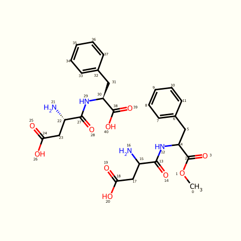 COC(=O)C(Cc1ccccc1)NC(=O)C(N)CC(=O)O.N[C@@H](CC(=O)O)C(=O)N[C@@H](Cc1ccccc1)C(=O)O